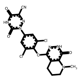 CN1CCCc2c(Oc3c(Cl)cc(-n4nc(C#N)c(=O)[nH]c4=O)cc3Cl)n[nH]c(=O)c21